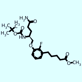 COC(=O)CCCCc1cccc(OC[C@H](CCC(N)=O)NC(=O)OC(C)(C)C)c1F